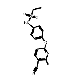 CCS(=O)(=O)Nc1ccc(Oc2ccc(C#N)c(C)n2)cc1